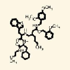 CCCCC(CNC(Cc1csc2ccccc12)C(=O)NC(CC1CCCCC1)C(=O)NCCOC)CC(NCc1ccc(OC)cc1OC)OCc1ccccc1OC